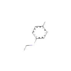 [CH2]CNc1ccc(C)cc1